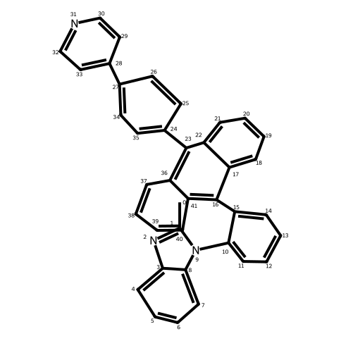 Cc1nc2ccccc2n1-c1ccccc1-c1c2ccccc2c(-c2ccc(-c3ccncc3)cc2)c2ccccc12